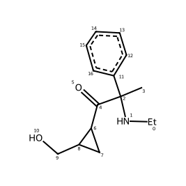 CCNC(C)(C(=O)C1CC1CO)c1ccccc1